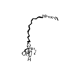 CCCCC/C=C/C/C=C\CCCCCCCCOCC(N)(CO)CO